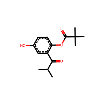 CC(C)C(=O)c1cc(O)ccc1OC(=O)C(C)(C)C